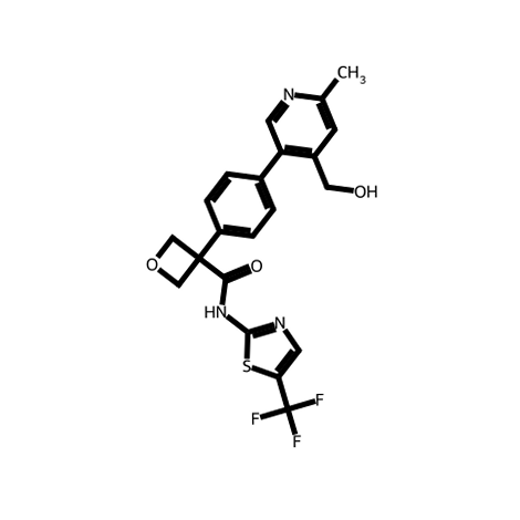 Cc1cc(CO)c(-c2ccc(C3(C(=O)Nc4ncc(C(F)(F)F)s4)COC3)cc2)cn1